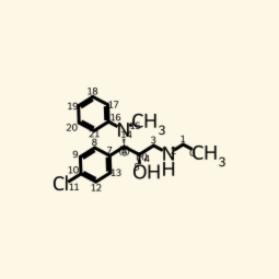 CCNC[C@@H](O)[C@H](c1ccc(Cl)cc1)N(C)c1ccccc1